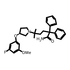 COc1cc(F)cc(O[C@H]2CCN(C(C)(C)CCC(C(N)=O)(c3ccccc3)c3ccccc3)C2)c1